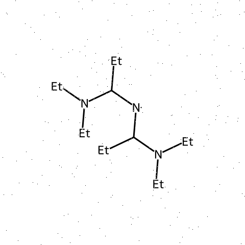 CCC([N]C(CC)N(CC)CC)N(CC)CC